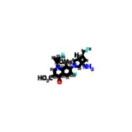 COc1c(N2C[C@H]3[C@@H](CF)C[C@@]3(N)C2)c(F)cc2c(=O)c(C(=O)O)cn([C@@H]3C[C@@H]3F)c12